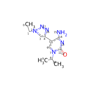 CCn1cc(-c2cn(C(C)C)c(=O)nc2N)nn1